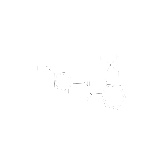 Nc1cnc(NC(=O)c2ccccc2OC(F)(F)F)s1